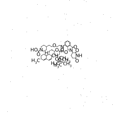 C[C@H]1C=C2C=C[C@H](C)[C@H](CC[C@@H]3C[C@@H](O[Si](C)(C)C(C)(C)C)CC(=O)O3)[C@@H]2[C@@H](C2CC(CCOCCNc3cccc4c3C(=O)N(C3CCC(=O)NC3=O)C4=O)CCN2C(=O)O)C1